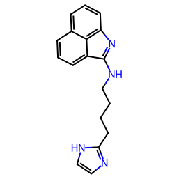 c1cc2c3c(cccc3c1)C(NCCCCc1ncc[nH]1)=N2